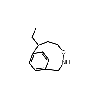 CCC1CCONCc2ccc1cc2